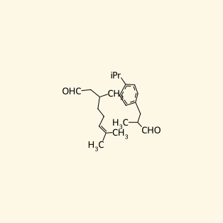 CC(C)=CCCC(C)CC=O.CC(C=O)Cc1ccc(C(C)C)cc1